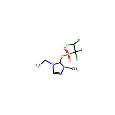 CCN1C=CN(C)C1OS(=O)(=O)C(F)(F)C(F)F